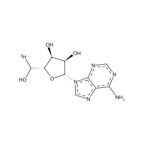 [3H]C(O)[C@H]1O[C@@H](n2cnc3c(N)ncnc32)[C@H](O)[C@@H]1O